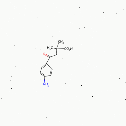 CC(C)(CC(=O)c1ccc(N)cc1)C(=O)O